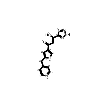 O=C(C=C(O)c1nn[nH]n1)c1coc(Cc2ccncc2)c1